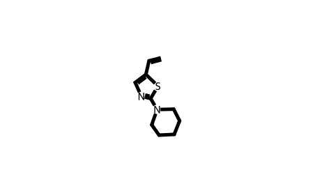 C=Cc1cnc(N2CCCCC2)s1